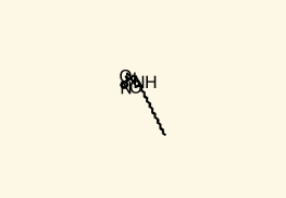 CCC=CCC=CCC=CCC=CCC=CCCCC(=O)NC1CCN(C(=O)c2cccnc2)C1